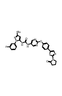 CC(C)(C)c1cc(NC(=O)Nc2cnc(Oc3ccc(-c4cnc(N5CCCC5=O)s4)cc3)nc2)n(-c2cccc(F)c2)n1